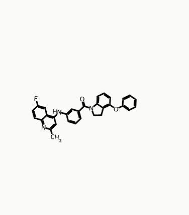 Cc1cc(Nc2cccc(C(=O)N3CCc4c(Oc5ccccc5)cccc43)c2)c2cc(F)ccc2n1